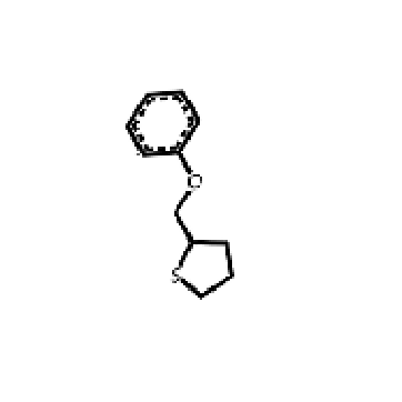 [c]1ccccc1OCC1CCCS1